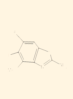 COc1c(F)c(F)cc2sc(N)nc12